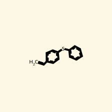 C=Cc1ccc(Sc2ccccc2)cc1